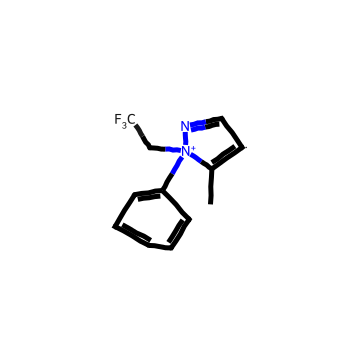 CC1=[C]C=N[N+]1(CC(F)(F)F)c1ccccc1